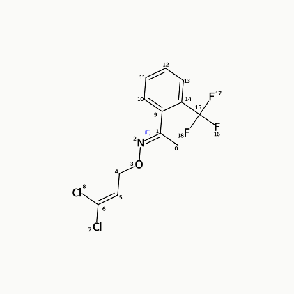 C/C(=N\OCC=C(Cl)Cl)c1ccccc1C(F)(F)F